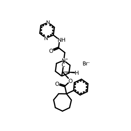 O=C(C[N+]12CCC(CC1)[C@@H](OC(=O)C1(c3ccccc3)CCCCCC1)C2)Nc1cnccn1.[Br-]